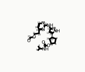 CC(C)NC(=O)O[C@@H]1CC[C@H](c2cc(Nc3nccc(CCOC=O)n3)n[nH]2)C1